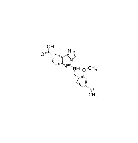 COc1ccc(CNc2nc3ccc(C(=O)O)cc3c3nccn23)c(OC)c1